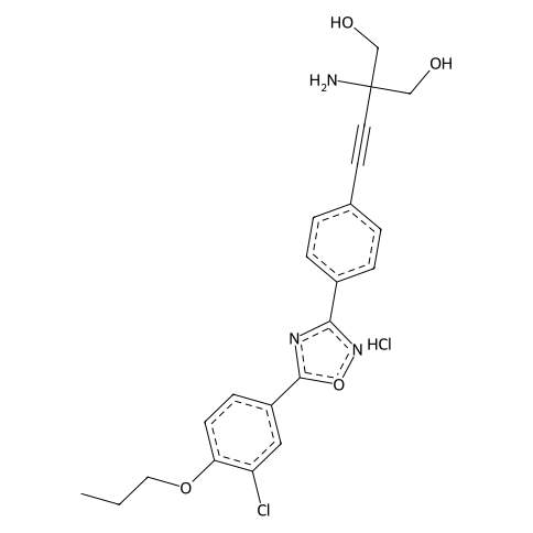 CCCOc1ccc(-c2nc(-c3ccc(C#CC(N)(CO)CO)cc3)no2)cc1Cl.Cl